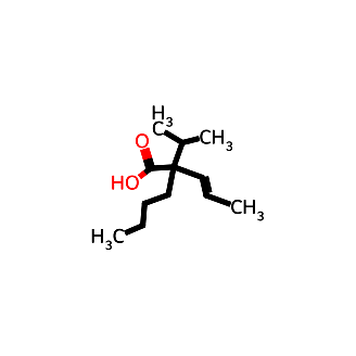 CC=CC(CCCC)(C(=O)O)C(C)C